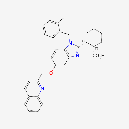 Cc1ccccc1Cn1c([C@@H]2CCCC[C@@H]2C(=O)O)nc2cc(OCc3ccc4ccccc4n3)ccc21